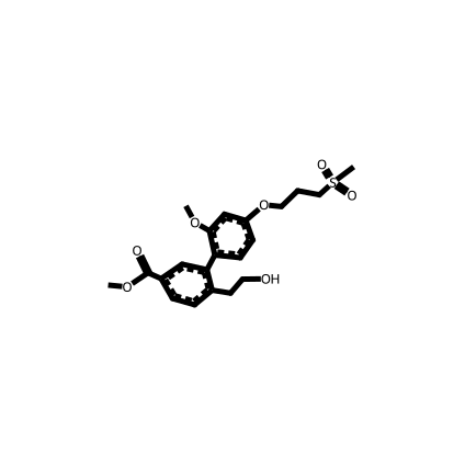 COC(=O)c1ccc(CCO)c(-c2ccc(OCCCS(C)(=O)=O)cc2OC)c1